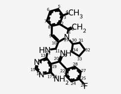 C=C1c2c(C)cccc2C=C(CNc2ncnc(N)c2C(=N)c2ccc(F)cc2)N1C1CCCC1